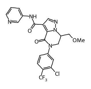 COCC1CN(c2ccc(C(F)(F)F)c(Cl)c2)C(=O)c2c(C(=O)Nc3cccnc3)cnn21